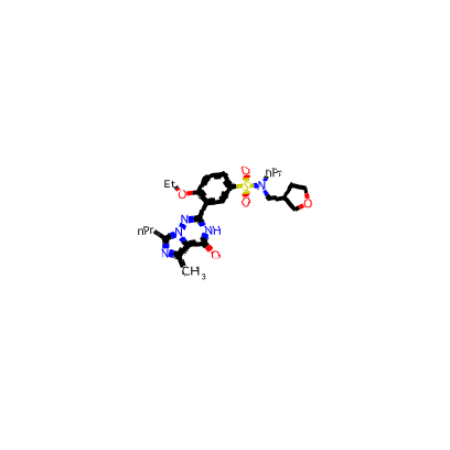 CCCc1nc(C)c2c(=O)[nH]c(-c3cc(S(=O)(=O)N(CCC)CC4CCOC4)ccc3OCC)nn12